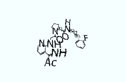 CC(=O)C(=N)c1cccnc1NCC(=O)N1CCC[C@H]1C(=O)N[C@H]1C[C@@H]1c1ccccc1F